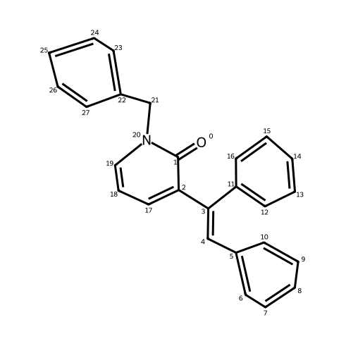 O=c1c(C(=Cc2ccccc2)c2ccccc2)cccn1Cc1ccccc1